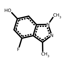 Cc1nn(C)c2cc(O)cc(F)c12